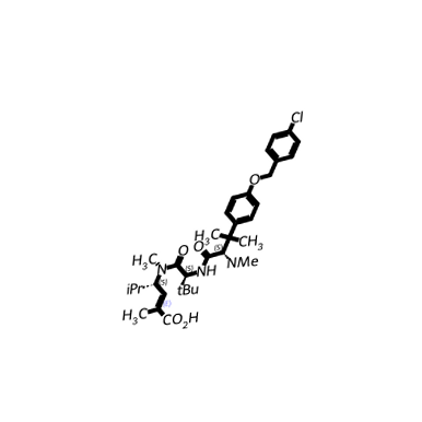 CN[C@H](C(=O)N[C@H](C(=O)N(C)[C@H](/C=C(\C)C(=O)O)C(C)C)C(C)(C)C)C(C)(C)c1ccc(OCc2ccc(Cl)cc2)cc1